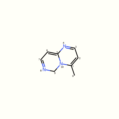 CC1=CC=NC2=CC=NCN12